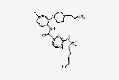 C=CCN1CCN(c2cc(F)ncc2NC(=O)c2ccnc(NC3(CCC=CO)CC3)n2)CC1